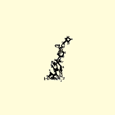 CC1(N)NC=C/C1=C(/N)c1cnn(C2(CC#N)CN(C3CCN(C(=O)OCC4CCCC4)CC3)C2)c1